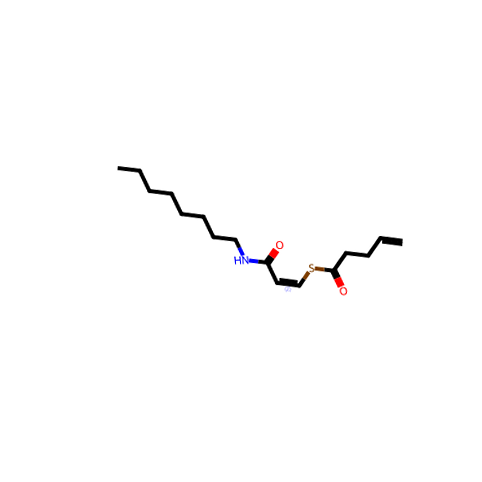 C=CCCC(=O)S/C=C\C(=O)NCCCCCCCC